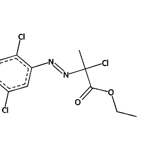 CCOC(=O)C(C)(Cl)/N=N/c1cc(Cl)ccc1Cl